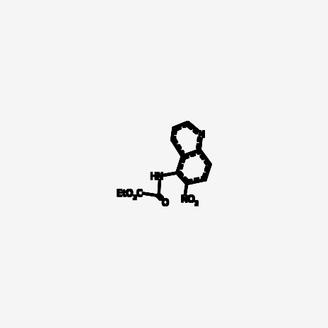 CCOC(=O)C(=O)Nc1c([N+](=O)[O-])ccc2ncccc12